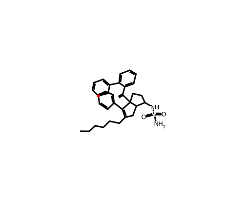 C=C(c1ccccc1-c1ccccc1)C12CCC(NS(N)(=O)=O)C1CC(CCCCCC)=C2c1ccccc1